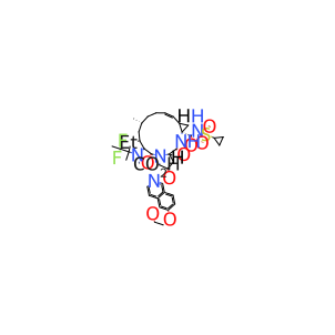 CC[C@@H]1C[C@H](C)CC/C=C\[C@@H]2C[C@@]2(C(=O)NS(=O)(=O)C2CC2)NC(=O)[C@@H]2C[C@@H](Oc3nccc4c5c(ccc34)OCCO5)CN2C(=O)[C@H]1N(C(=O)O)C(C)(C)C(C)(F)F